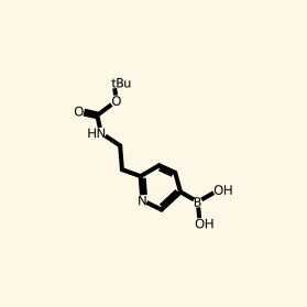 CC(C)(C)OC(=O)NCCc1ccc(B(O)O)cn1